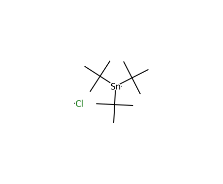 C[C](C)(C)[Sn]([C](C)(C)C)[C](C)(C)C.[Cl]